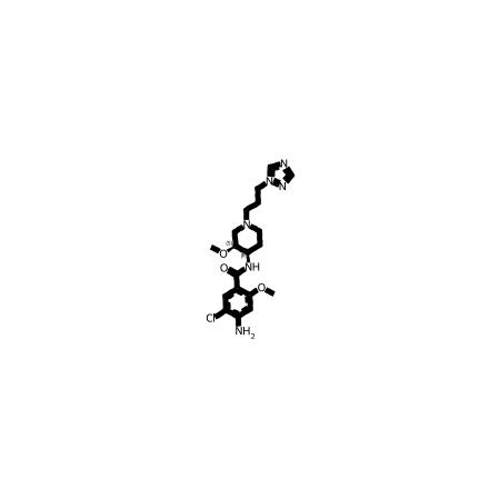 COc1cc(N)c(Cl)cc1C(=O)N[C@@H]1CCN(CCCn2cncn2)C[C@@H]1OC